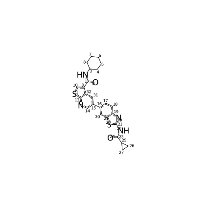 O=C(NC1CCCCC1)c1csc2ncc(-c3ccc4nc(NC(=O)C5CC5)sc4c3)cc12